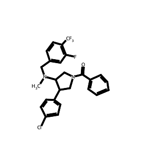 CN(Cc1ccc(C(F)(F)F)c(F)c1)C1CN(C(=O)c2ccccc2)CC1c1ccc(Cl)cc1